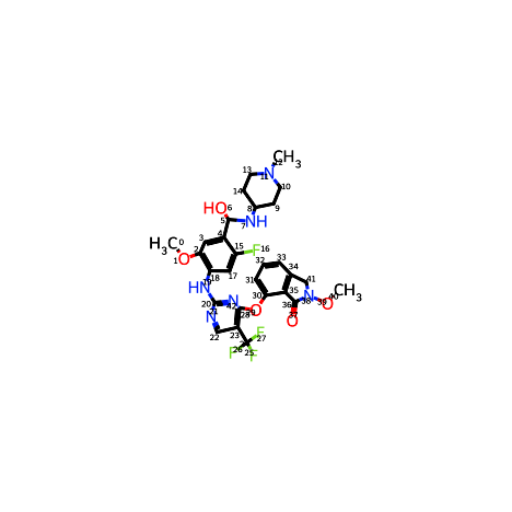 COc1cc(C(O)NC2CCN(C)CC2)c(F)cc1Nc1ncc(C(F)(F)F)c(Oc2cccc3c2C(=O)N(OC)C3)n1